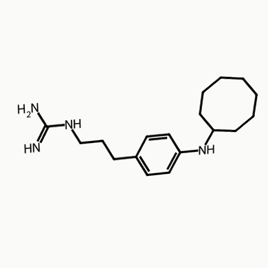 N=C(N)NCCCc1ccc(NC2CCCCCCC2)cc1